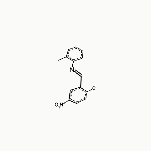 Cc1ccccc1/N=C/c1cc([N+](=O)[O-])ccc1[O]